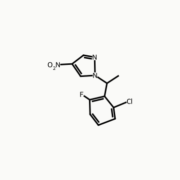 CC(c1c(F)cccc1Cl)n1cc([N+](=O)[O-])cn1